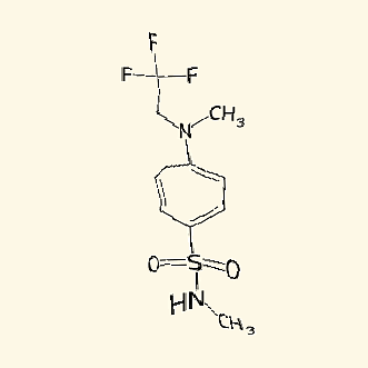 CNS(=O)(=O)c1ccc(N(C)CC(F)(F)F)cc1